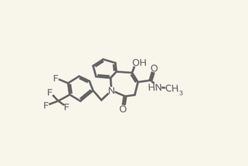 CNC(=O)C1=C(O)c2ccccc2N(Cc2ccc(F)c(C(F)(F)F)c2)C(=O)C1